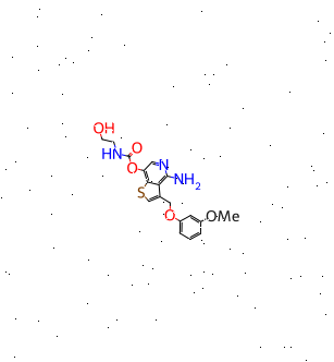 COc1cccc(OCc2csc3c(OC(=O)NCCO)cnc(N)c23)c1